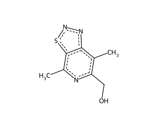 Cc1c(CO)nc(C)c2snnc12